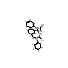 S=C1NC2(NC(=S)N2c2ccccc2)c2cccc(c2)CN1c1ccccc1